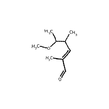 COC(C)C(C)/C=C(\C)C=O